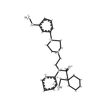 COc1cccc(N2CCN(CCN(C(=O)C3(CO)CCCCC3)c3ccccn3)CC2)c1